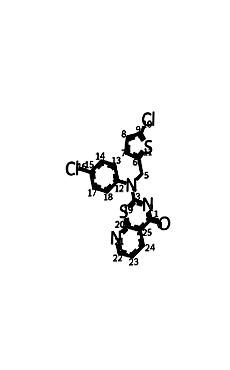 O=c1nc(N(Cc2ccc(Cl)s2)c2ccc(Cl)cc2)sc2ncccc12